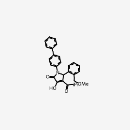 COCc1ccccc1C1C(C(=O)C(C)C)=C(O)C(=O)N1c1ccc(-c2ccccc2)cc1